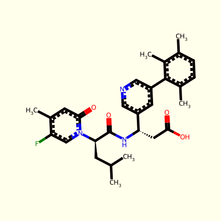 Cc1cc(=O)n([C@H](CC(C)C)C(=O)N[C@@H](CC(=O)O)c2cncc(-c3c(C)ccc(C)c3C)c2)cc1F